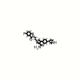 Nc1nc2cc(-c3cc[nH]n3)ccc2c2cn(CCN3Cc4ccc(F)cc4C3=O)nc12